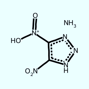 N.O=[N+]([O-])c1[nH]nnc1[N+](=O)O